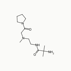 CN(CCNC(=O)C(C)(C)N)CC(=O)N1CCCC1